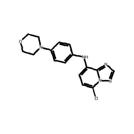 Clc1ccc(Nc2ccc(N3CCOCC3)cc2)c2ncnn12